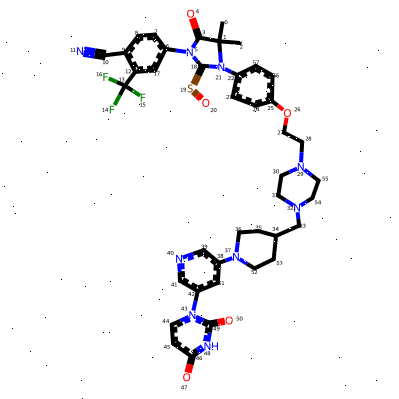 CC1(C)C(=O)N(c2ccc(C#N)c(C(F)(F)F)c2)C(=S=O)N1c1ccc(OCCN2CCN(CC3CCN(c4cncc(-n5ccc(=O)[nH]c5=O)c4)CC3)CC2)cc1